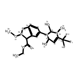 CCOC(=O)C1c2cc(N3C(O)C=C(C(F)(F)F)N(C)C3O)ccc2SN1OC